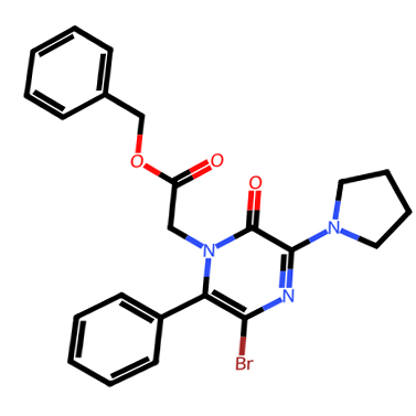 O=C(Cn1c(-c2ccccc2)c(Br)nc(N2CCCC2)c1=O)OCc1ccccc1